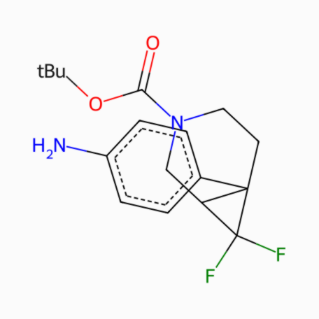 CC(C)(C)OC(=O)N1CCC2(c3ccc(N)cc3)C(C1)C2(F)F